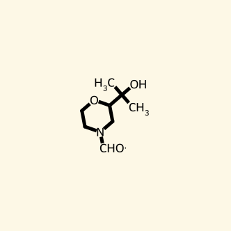 CC(C)(O)C1CN([C]=O)CCO1